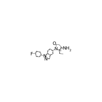 CC[C@@H]1[C@@H](N)CC(=O)N1c1ccc2c(cnn2-c2ccc(F)cc2)c1